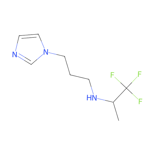 CC(NCCCn1ccnc1)C(F)(F)F